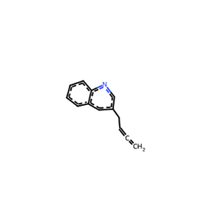 C=C=CCc1cnc2ccccc2c1